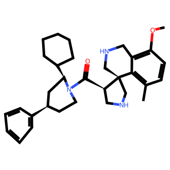 COc1ccc(C)c2c1CNC[C@]21CNC[C@H]1C(=O)N1CC[C@@H](c2ccccc2)C[C@H]1C1CCCCC1